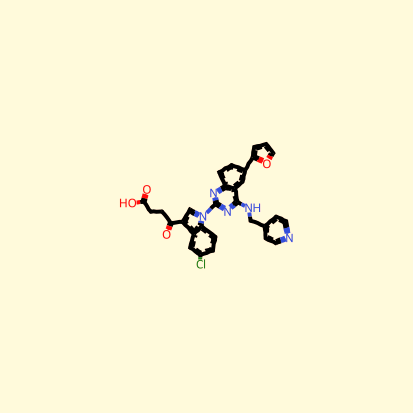 O=C(O)CCC(=O)c1cn(-c2nc(NCc3ccncc3)c3cc(-c4ccco4)ccc3n2)c2ccc(Cl)cc12